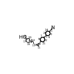 N#Cc1ccc(-c2ccc([C@H]3C[C@@H]3CCN3CC[C@@H](O)C3)cc2)cc1